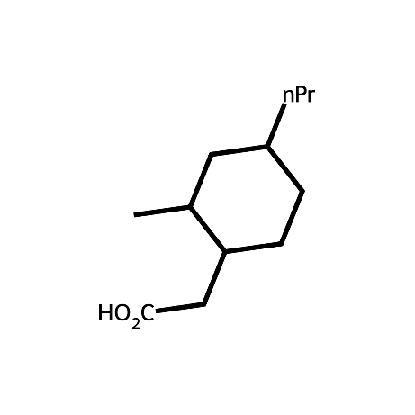 CCCC1CCC(CC(=O)O)C(C)C1